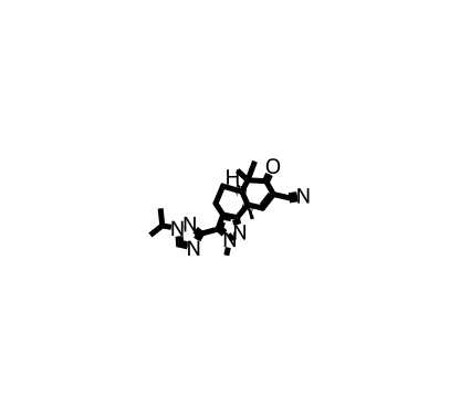 CC(C)n1cnc(-c2c3c(nn2C)[C@@]2(C)C=C(C#N)C(=O)C(C)(C)[C@@H]2CC3)n1